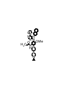 C=CC(=O)Nc1cc(Nc2cc(N3OCC[C@@H]3c3cccc4ccccc34)ncn2)c(OC)cc1N1CCC(N2CCN(C3CC3)CC2)CC1